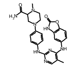 Cc1cnc(Nc2ccc(N3CCN(C)C(C(N)=O)C3)cc2)nc1Nc1ccc2oc(=O)[nH]c2c1